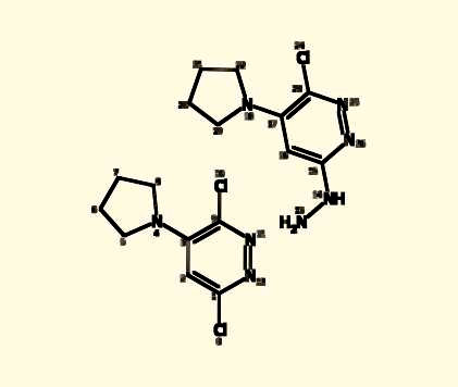 Clc1cc(N2CCCC2)c(Cl)nn1.NNc1cc(N2CCCC2)c(Cl)nn1